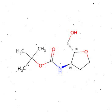 CC(C)(C)OC(=O)N[C@@H]1CCO[C@H]1CO